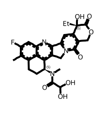 CC[C@@]1(O)C(=O)OCc2c1cc1n(c2=O)Cc2c-1nc1cc(F)c(C)c3c1c2[C@@H](N(C)C(=O)C(O)O)CC3